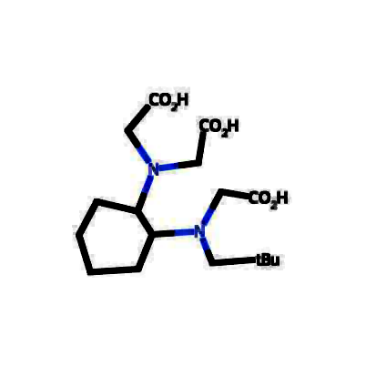 CC(C)(C)CN(CC(=O)O)C1CCCCC1N(CC(=O)O)CC(=O)O